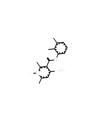 COc1cc(C)[n+]([O-])c(C)c1C(=O)Nc1cccc(C)c1C